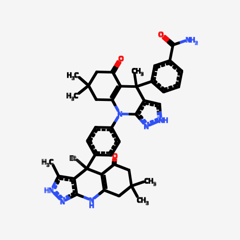 CCC1(c2ccc(N3C4=C(C(=O)CC(C)(C)C4)C(C)(c4cccc(C(N)=O)c4)c4c[nH]nc43)cc2)C2=C(CC(C)(C)CC2=O)Nc2n[nH]c(C)c21